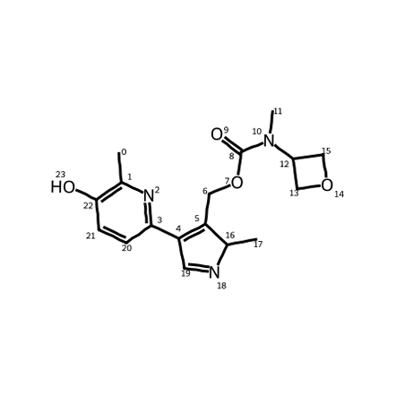 Cc1nc(C2=C(COC(=O)N(C)C3COC3)C(C)N=C2)ccc1O